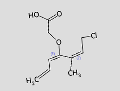 C=C/C=C(OCC(=O)O)\C(C)=C/CCl